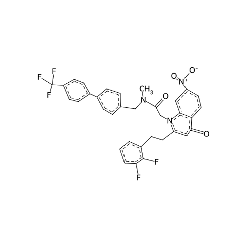 CN(Cc1ccc(-c2ccc(C(F)(F)F)cc2)cc1)C(=O)Cn1c(CCc2cccc(F)c2F)cc(=O)c2ccc([N+](=O)[O-])cc21